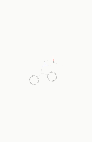 CC(=O)CN(C)CC(c1ccccc1)c1ccccc1